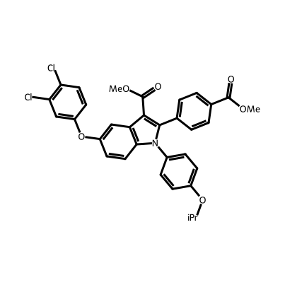 COC(=O)c1ccc(-c2c(C(=O)OC)c3cc(Oc4ccc(Cl)c(Cl)c4)ccc3n2-c2ccc(OC(C)C)cc2)cc1